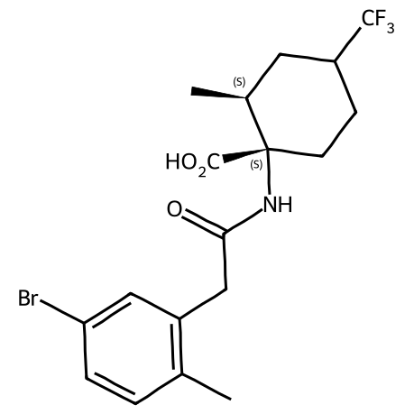 Cc1ccc(Br)cc1CC(=O)N[C@@]1(C(=O)O)CCC(C(F)(F)F)C[C@@H]1C